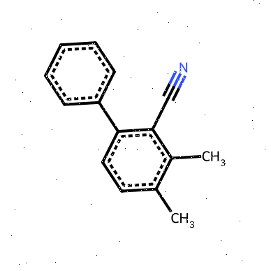 Cc1ccc(-c2ccccc2)c(C#N)c1C